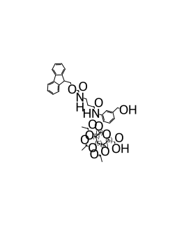 CC(=O)O[C@@H]1[C@@H](OC(C)=O)[C@H](Oc2ccc(CO)cc2NC(=O)CCNC(=O)OCC2c3ccccc3-c3ccccc32)O[C@H](C(=O)O)[C@H]1OC(C)=O